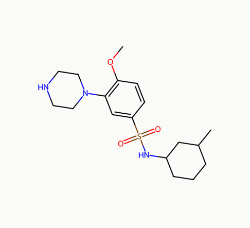 COc1ccc(S(=O)(=O)NC2CCCC(C)C2)cc1N1CCNCC1